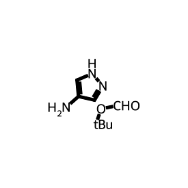 CC(C)(C)OC=O.Nc1cn[nH]c1